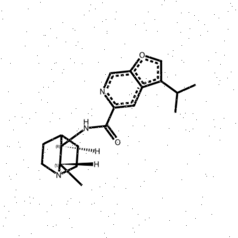 CC(C)c1coc2cnc(C(=O)N[C@@H]3C4CCN(CC4)[C@H]3C)cc12